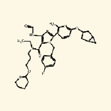 CCN(CCCOC1CCCCO1)C(=O)c1c(NC=O)nc(-c2ccc(OC3CC4CC4C3)nc2C)n1Cc1ccc(F)cc1